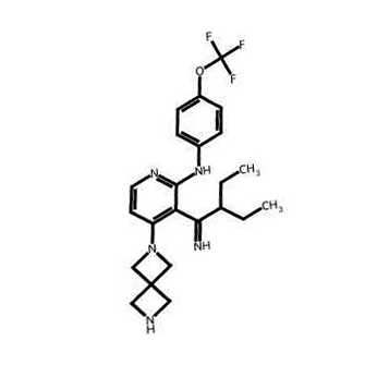 CCC(CC)C(=N)c1c(N2CC3(CNC3)C2)ccnc1Nc1ccc(OC(F)(F)F)cc1